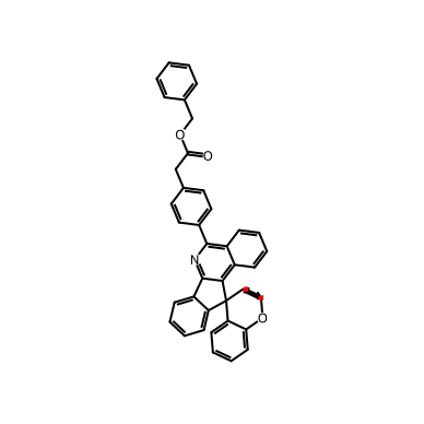 O=C(Cc1ccc(-c2nc3c(c4ccccc24)C2(c4ccccc4Oc4ccccc42)c2ccccc2-3)cc1)OCc1ccccc1